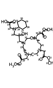 COC(=O)CN1CCN(CC(=O)OC)CCN(CC(O)CN(CC(=O)O)C2CCCCC2)CCN(CC(=O)OC)CC1